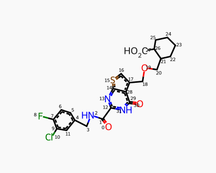 O=C(NCc1ccc(F)c(Cl)c1)c1nc2scc(COCC3CCCCC3C(=O)O)c2c(=O)[nH]1